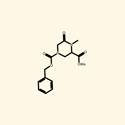 COC(=O)C1CN(C(=O)OCc2ccccc2)CC(=O)N1C